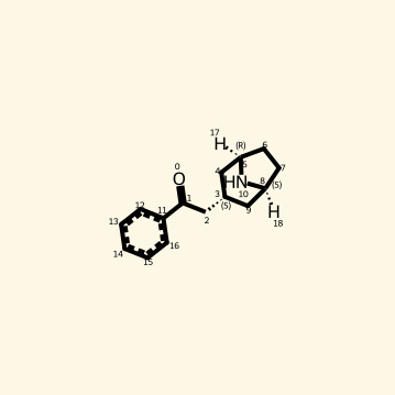 O=C(C[C@@H]1C[C@H]2CC[C@@H](C1)N2)c1ccccc1